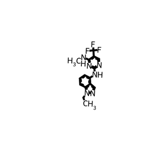 CCn1ncc2c(Nc3ncc(C(F)(F)F)c(NC)n3)cccc21